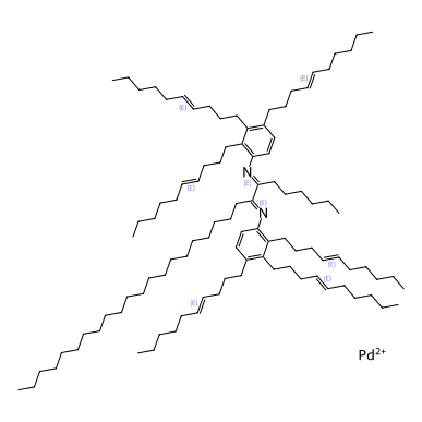 CCCCC/C=C/CCCc1ccc(/N=C(CCCCCC)/C(CCCCCCCCCCCCCCCCCCCCC)=N/c2ccc(CCC/C=C/CCCCC)c(CCC/C=C/CCCCC)c2CCC/C=C/CCCCC)c(CCC/C=C/CCCCC)c1CCC/C=C/CCCCC.[Pd+2]